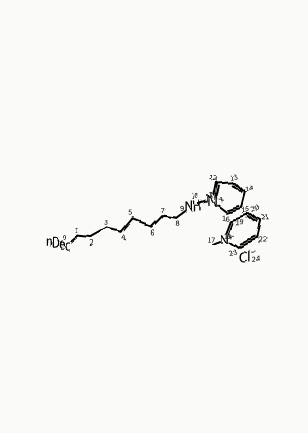 CCCCCCCCCCCCCCCCCC[NH-].C[n+]1ccccc1.C[n+]1ccccc1.[Cl-]